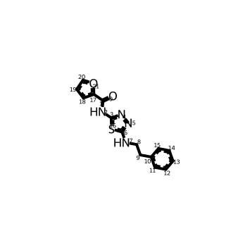 O=C(Nc1nnc(NCCc2ccccc2)s1)c1ccco1